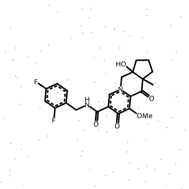 COc1c2n(cc(C(=O)NCc3ccc(F)cc3F)c1=O)CC1(O)CCCC1(C)C2=O